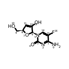 Nc1nc(=O)n([C@H]2O[C@@H](CO)C=C2O)cc1F